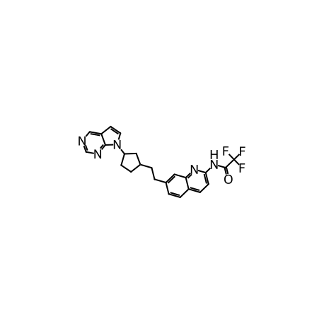 O=C(Nc1ccc2ccc(CCC3CCC(n4ccc5cncnc54)C3)cc2n1)C(F)(F)F